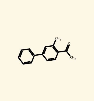 CC(=O)c1[c]cc(-c2ccccc2)cc1C